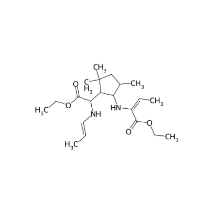 CC=CNC(C(=O)OCC)C1C(NC(=CC)C(=O)OCC)C(C)CC1(C)C